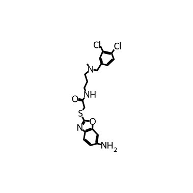 CN(CCCNC(=O)CSc1nc2ccc(N)cc2o1)Cc1ccc(Cl)c(Cl)c1